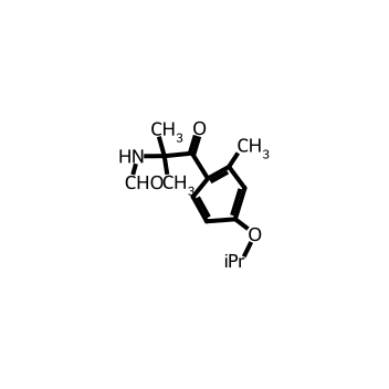 Cc1cc(OC(C)C)ccc1C(=O)C(C)(C)NC=O